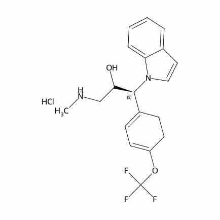 CNCC(O)[C@H](C1=CC=C(OC(F)(F)F)CC1)n1ccc2ccccc21.Cl